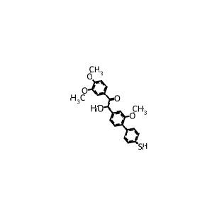 COc1ccc(C(=O)C(O)c2ccc(-c3ccc(S)cc3)c(OC)c2)cc1OC